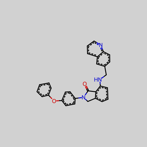 O=C1c2c(cccc2NCc2ccc3ncccc3c2)CN1c1ccc(Oc2ccccc2)cc1